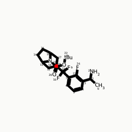 CC(N)c1cccc(C(F)(F)C2CC3CCC(C2)N3C(=O)OC(C)(C)C)c1F